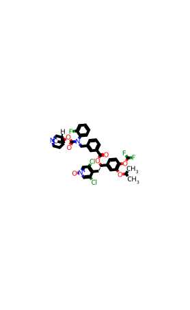 CC(C)Oc1cc([C@H](Cc2c(Cl)c[n+]([O-])cc2Cl)OC(=O)c2cccc(CN(C(=O)O[C@H]3CN4CCC3CC4)c3ccccc3F)c2)ccc1OC(F)F